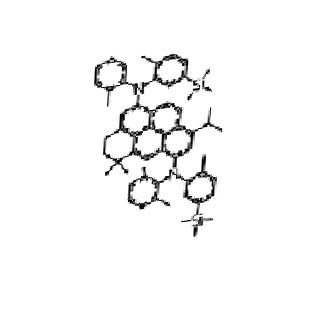 Cc1ccc([Si](C)(C)C)cc1N(c1c(C)cccc1C)c1cc(C(C)C)c2ccc3c(N(c4ccccc4C)c4cc([Si](C)(C)C)ccc4C)cc4c5c(cc1c2c35)C(C)(C)CC4